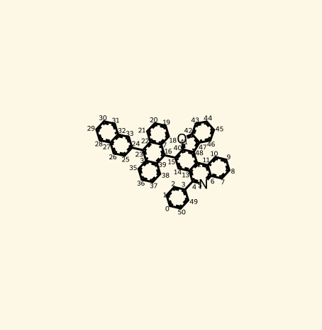 c1ccc(-c2nc3ccccc3c3c2cc(-c2c4ccccc4c(-c4ccc5ccccc5c4)c4ccccc24)c2oc4ccccc4c23)cc1